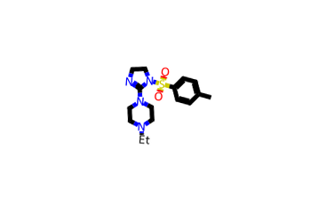 CCN1CCN(C2=NCCN2S(=O)(=O)c2ccc(C)cc2)CC1